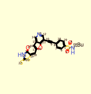 CC(C)(C)NS(=O)(=O)c1ccc(C#Cc2cncc3cc(C=C4SC(=S)NC4=O)oc23)cc1